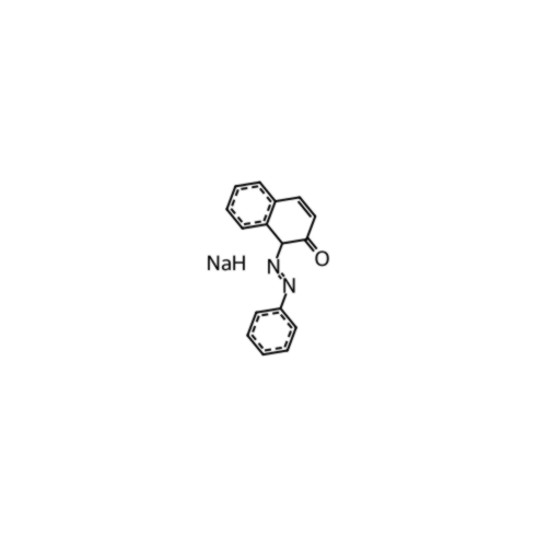 O=C1C=Cc2ccccc2C1N=Nc1ccccc1.[NaH]